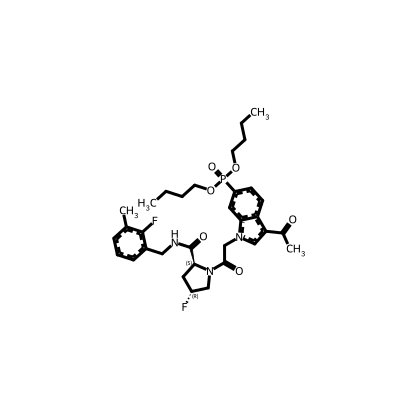 CCCCOP(=O)(OCCCC)c1ccc2c(C(C)=O)cn(CC(=O)N3C[C@H](F)C[C@H]3C(=O)NCc3cccc(C)c3F)c2c1